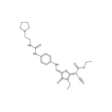 CCOC(=O)/C(C#N)=c1\sc(=CNc2ccc(NC(=O)NCCN3CCCC3)cc2)c(=O)n1CC